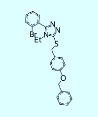 CCn1c(SCc2ccc(OCc3ccccc3)cc2)nnc1-c1ccccc1Br